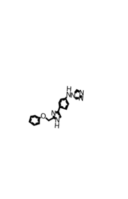 c1ccc(OCc2nc(-c3ccc(Nn4cnnc4)cc3)c[nH]2)cc1